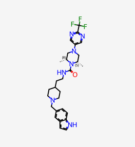 C[C@@H]1CN(c2cnc(C(F)(F)F)nc2)C[C@H](C)N1C(=O)NCCC1CCN(Cc2ccc3[nH]ccc3c2)CC1